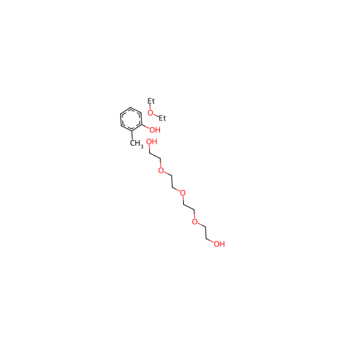 CCOCC.Cc1ccccc1O.OCCOCCOCCOCCO